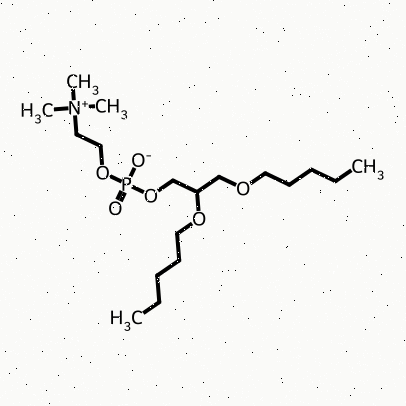 CCCCCOCC(COP(=O)([O-])OCC[N+](C)(C)C)OCCCCC